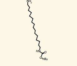 CCCCOC(=O)NCCCCCCCCCCCCCCCCN